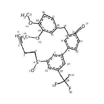 C#CCC[S+]([O-])c1nc(-c2ccc(=O)n(Cc3ccc(OC)c(OC)c3)c2)cc(C(F)(F)F)n1